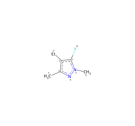 CCc1c(C)nn(C)c1F